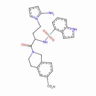 Nc1cccn1CCC(NS(=O)(=O)c1cccc2[nH]ccc12)C(=O)N1CCc2cc(C(=O)O)ccc2C1